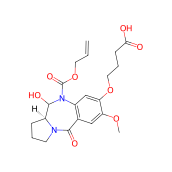 C=CCOC(=O)N1c2cc(OCCCC(=O)O)c(OC)cc2C(=O)N2CCC[C@H]2C1O